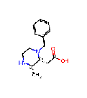 C[C@@H]1NCCN(Cc2ccccc2)[C@@H]1CC(=O)O